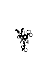 C=CCN(CC=C)C(=O)c1c(I)c(C(=O)Cl)cc(N(I)C(=O)COC(C)=O)c1I